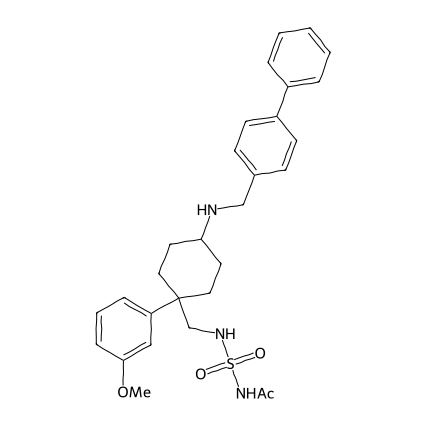 COc1cccc(C2(CNS(=O)(=O)NC(C)=O)CCC(NCc3ccc(-c4ccccc4)cc3)CC2)c1